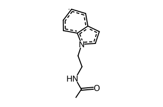 CC(=O)NCCn1ccc2c[c]ccc21